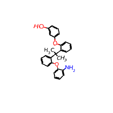 CC(C)(c1ccccc1Oc1cccc(O)c1)c1ccccc1Oc1ccccc1N